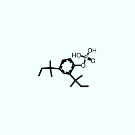 CCC(C)(C)c1ccc(OP(=O)(O)O)c(C(C)(C)CC)c1